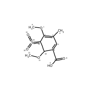 COC1=C(C)C=C(C(=O)O)C(OC)C1=S(=O)=O